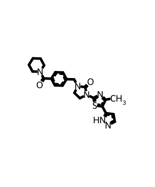 Cc1nc(N2CCN(Cc3ccc(C(=O)N4CCCCC4)cc3)C2=O)sc1-c1ccn[nH]1